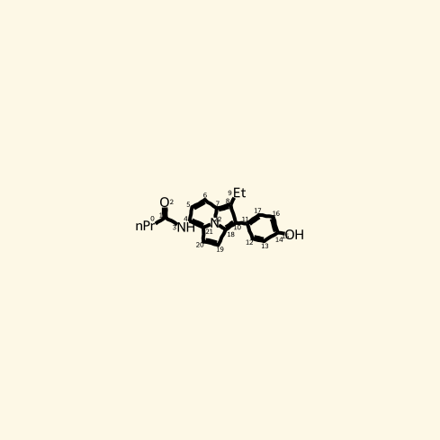 CCCC(=O)Nc1ccc2c(CC)c(-c3ccc(O)cc3)c3ccc1n23